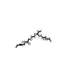 CCC#CCNC(=O)COCCOC(CC)SSCCNCC